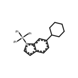 CC(C)[Si](C(C)C)(C(C)C)n1ccc2ccc(C3CCCCC3)cc21